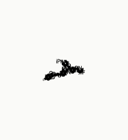 Cc1ccc(S(=O)(=O)OCCOc2ccc(-c3nc4ccc(Oc5ccc(F)cn5)cc4c(=O)n3C[C@H]3CCCN(C(C)C)C3)c(F)c2)cc1